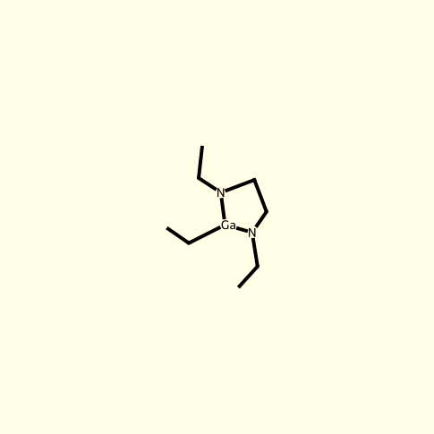 CC[N]1CC[N](CC)[Ga]1[CH2]C